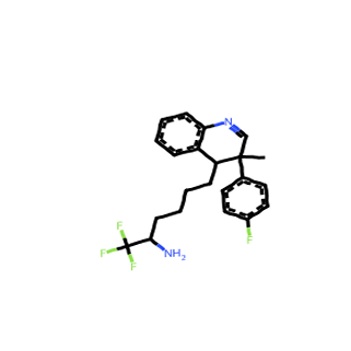 CC1(c2ccc(F)cc2)C=Nc2ccccc2C1CCCCC(N)C(F)(F)F